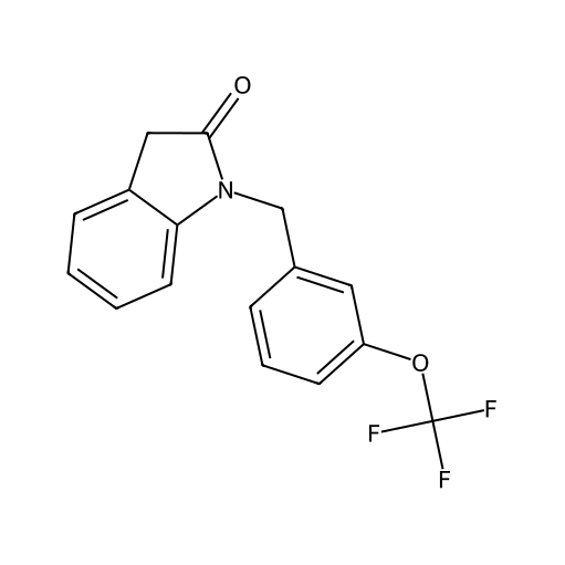 O=C1Cc2ccccc2N1Cc1cccc(OC(F)(F)F)c1